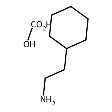 NCCC1CCCCC1.O=C(O)O